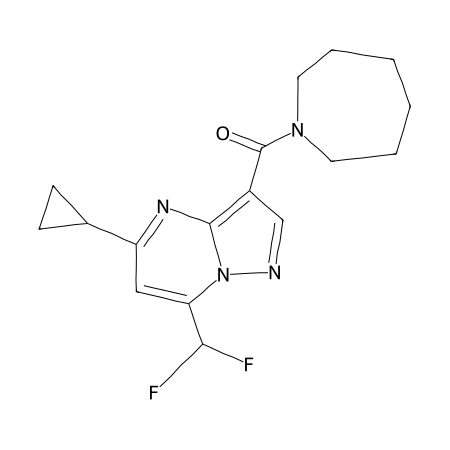 O=C(c1cnn2c(C(F)F)cc(C3CC3)nc12)N1CCCCCC1